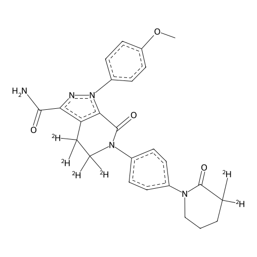 [2H]C1([2H])CCCN(c2ccc(N3C(=O)c4c(c(C(N)=O)nn4-c4ccc(OC)cc4)C([2H])([2H])C3([2H])[2H])cc2)C1=O